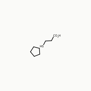 C1CCCC1.O=C(O)CCS